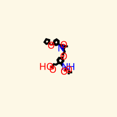 Cc1oc(-c2cccc(OC3CCCC3)c2)nc1CCOc1ccc(CCC(=O)O)c(CNC(=O)OC(C)C)c1